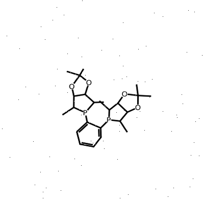 CC1C2OC(C)(C)OC2C(C)P1c1ccccc1P1C(C)C2OC(C)(C)OC2C1C